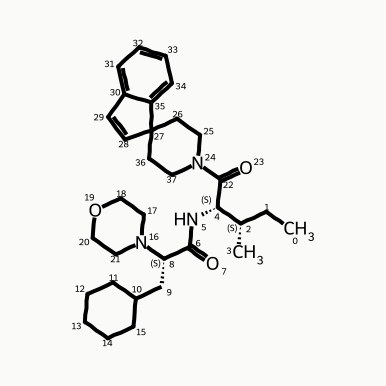 CC[C@H](C)[C@H](NC(=O)[C@H](CC1CCCCC1)N1CCOCC1)C(=O)N1CCC2(C=Cc3ccccc32)CC1